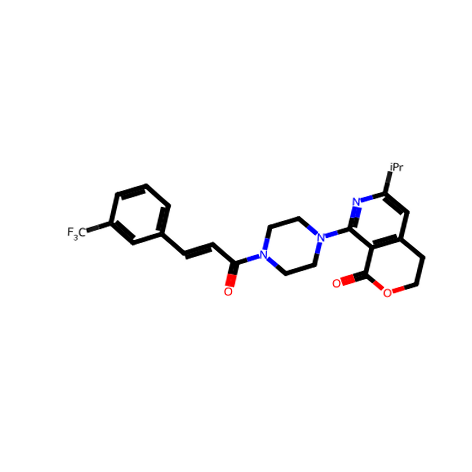 CC(C)c1cc2c(c(N3CCN(C(=O)C=Cc4cccc(C(F)(F)F)c4)CC3)n1)C(=O)OCC2